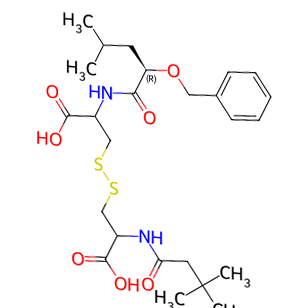 CC(C)C[C@@H](OCc1ccccc1)C(=O)NC(CSSCC(NC(=O)CC(C)(C)C)C(=O)O)C(=O)O